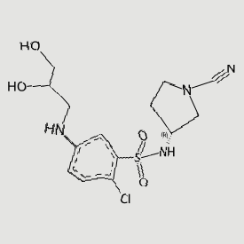 N#CN1CC[C@@H](NS(=O)(=O)c2cc(NCC(O)CO)ccc2Cl)C1